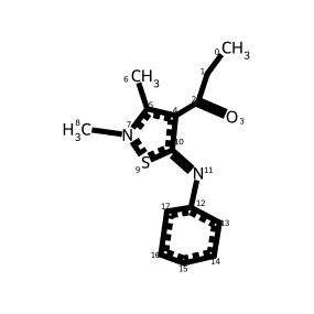 CCC(=O)c1c(C)n(C)sc1=Nc1ccccc1